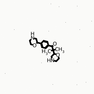 CC(C)(C(=O)c1ccc(C2CNCCO2)cc1)C1CNCCO1